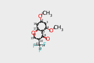 COc1cc(OC)c2c(=O)c(C(F)(F)F)coc2c1